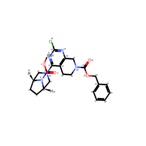 CC(C)(C)OC(=O)N1[C@@H]2CC[C@H]1CN(c1nc(Cl)nc3c1CCN(C(=O)OCc1ccccc1)C3)C2